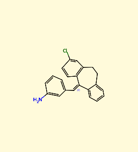 Nc1cccc(/C=C2/c3ccccc3CCc3cc(Cl)ccc32)c1